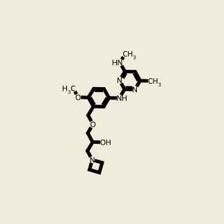 CNc1cc(C)nc(Nc2ccc(OC)c(COCC(O)CN3CCC3)c2)n1